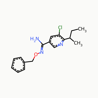 CCC(C)c1ncc(/C(N)=N/OCc2ccccc2)cc1Cl